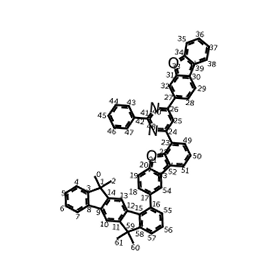 CC1(C)c2ccccc2-c2cc3c(cc21)-c1c(-c2ccc4oc5c(-c6cc(-c7ccc8c(c7)oc7ccccc78)nc(-c7ccccc7)n6)cccc5c4c2)cccc1C3(C)C